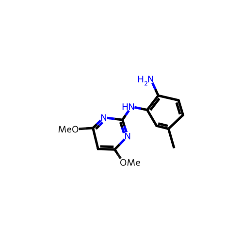 COc1cc(OC)nc(Nc2cc(C)ccc2N)n1